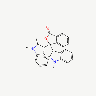 CC1C(C2(C3c4ccccc4N(C)C3C)OC(=O)c3ccccc32)c2ccccc2N1C